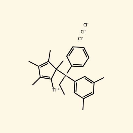 CC[Si](c1ccccc1)(c1cc(C)cc(C)c1)C1(C)C(C)=C(C)C(C)=[C]1[Ti+3].[Cl-].[Cl-].[Cl-]